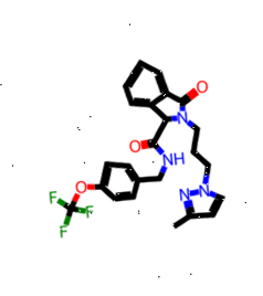 Cc1ccn(CCCN2C(=O)c3ccccc3C2C(=O)NCc2ccc(OC(F)(F)F)cc2)n1